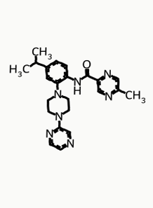 Cc1cnc(C(=O)Nc2ccc(C(C)C)cc2N2CCN(c3cnccn3)CC2)cn1